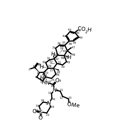 C=C(C)[C@@H]1CC[C@]2(NC(=O)N(CCCOC)CCN3CCS(=O)(=O)CC3)CC[C@]3(C)[C@H](CC[C@@H]4[C@@]5(C)CC=C(c6ccc(C(=O)O)cc6)C(C)(C)[C@@H]5CC[C@]43C)[C@@H]12